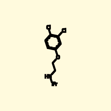 CC(C)NCCOc1ccc(Cl)c(Cl)c1